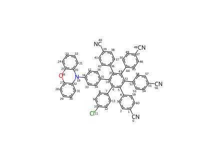 N#Cc1ccc(-c2c(-c3ccc(Cl)cc3)c(-c3ccc(N4c5ccccc5Oc5ccccc54)cc3)c(-c3ccc(C#N)cc3)c(-c3ccc(C#N)cc3)c2-c2ccc(C#N)cc2)cc1